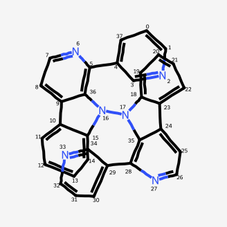 c1cncc(-c2nccc3c4ccccc4n(-n4c5ccccc5c5ccnc(-c6cccnc6)c54)c23)c1